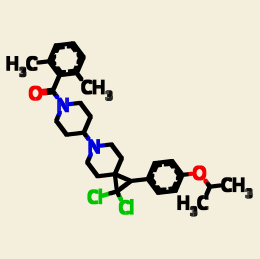 Cc1cccc(C)c1C(=O)N1CCC(N2CCC3(CC2)C(c2ccc(OC(C)C)cc2)C3(Cl)Cl)CC1